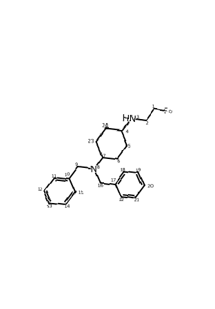 FCCNC1CCC(N(Cc2ccccc2)Cc2ccccc2)CC1